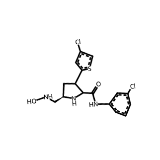 O=C(Nc1cccc(Cl)c1)C1N[C@@H](CNO)CC1c1cc(Cl)cs1